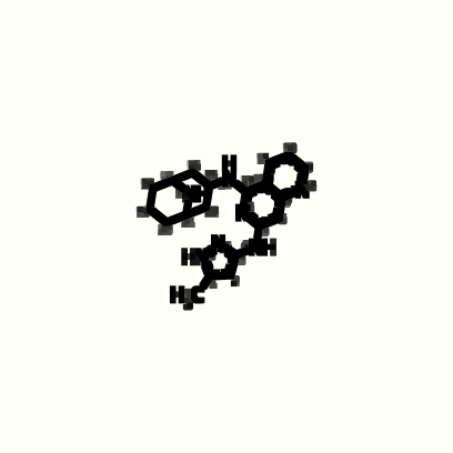 Cc1cc(Nc2cc3ncccc3c(NC3CC4CCCC(C3)N4)n2)n[nH]1